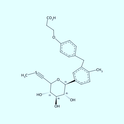 CS#CC1O[C@@H](c2ccc(C)c(Cc3ccc(OCCC(=O)O)cc3)c2)[C@H](O)[C@@H](O)[C@@H]1O